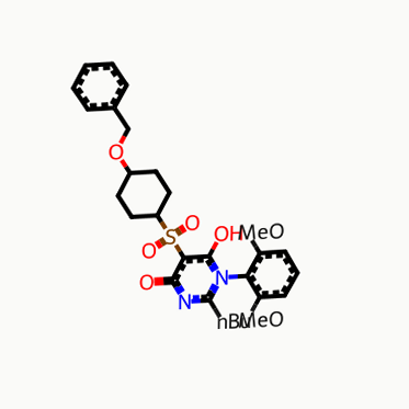 CCCCc1nc(=O)c(S(=O)(=O)C2CCC(OCc3ccccc3)CC2)c(O)n1-c1c(OC)cccc1OC